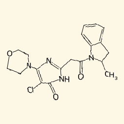 CC1Cc2ccccc2N1C(=O)Cc1nc(N2CCOCC2)c(Cl)c(=O)[nH]1